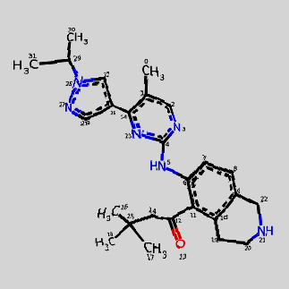 Cc1cnc(Nc2ccc3c(c2C(=O)CC(C)(C)C)CCNC3)nc1-c1cnn(C(C)C)c1